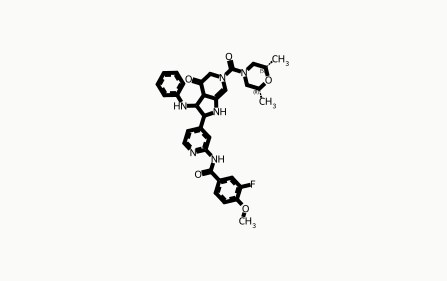 COc1ccc(C(=O)Nc2cc(C3NC4=CN(C(=O)N5C[C@@H](C)O[C@@H](C)C5)CC(=O)C4C3Nc3ccccc3)ccn2)cc1F